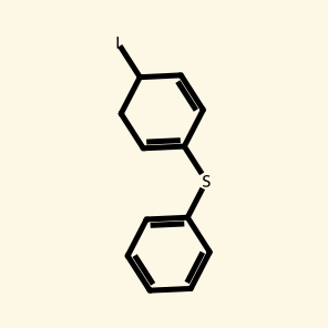 IC1C=CC(Sc2ccccc2)=CC1